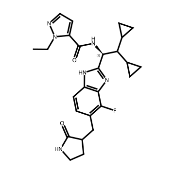 CCn1nccc1C(=O)N[C@H](c1nc2c(F)c(CC3CCNC3=O)ccc2[nH]1)C(C1CC1)C1CC1